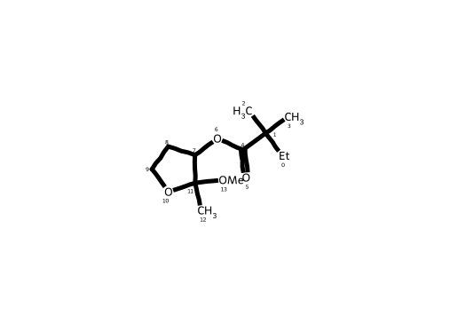 CCC(C)(C)C(=O)OC1CCOC1(C)OC